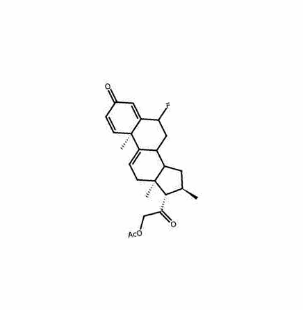 CC(=O)OCC(=O)[C@H]1[C@H](C)CC2C3CC(F)C4=CC(=O)C=C[C@]4(C)C3=CC[C@@]21C